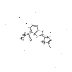 Cc1cnc(N2Cc3cccc(C(=O)NO)c3C2)[nH]1